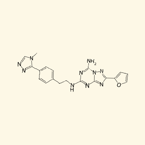 Cn1cnnc1-c1ccc(CCNc2nc(N)n3nc(-c4ccco4)nc3n2)cc1